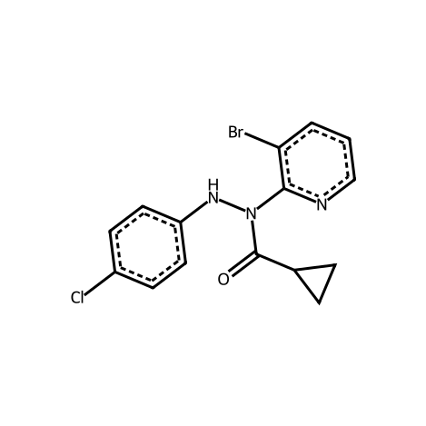 O=C(C1CC1)N(Nc1ccc(Cl)cc1)c1ncccc1Br